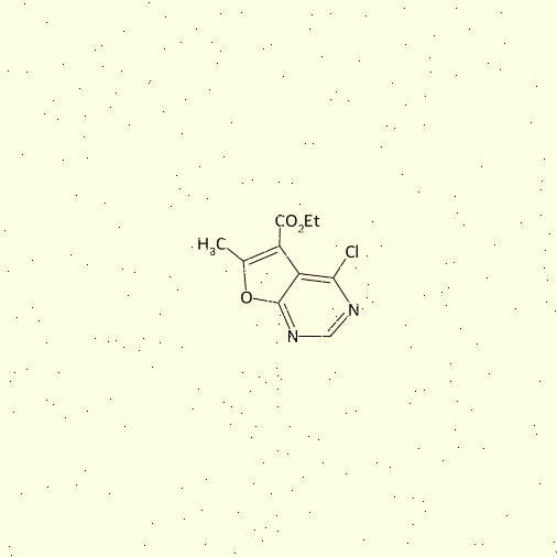 CCOC(=O)c1c(C)oc2ncnc(Cl)c12